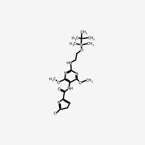 COc1nc(NCCO[Si](C)(C)C(C)(C)C)nc(OC)c1NC(=O)C1=CCC(Cl)=N1